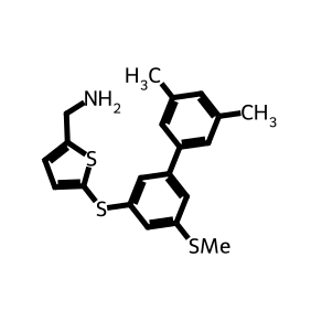 CSc1cc(Sc2ccc(CN)s2)cc(-c2cc(C)cc(C)c2)c1